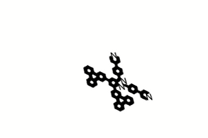 c1ccc2c(c1)c1ccccc1c1cc(-c3cc(-c4ccc5c6ccccc6c6ccccc6c5c4)c4nc(-c5ccc(-c6ccncc6)cc5)nc(-c5ccc(-c6ccncc6)cc5)c4c3)ccc21